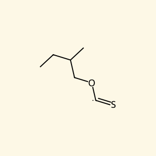 CCC(C)CO[C]=S